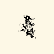 CCC(CC)COC(=O)[C@H](C)NP(=O)(OC[C@@H](CC#N)[C@H](Cc1ccc2c(N)ncnn12)OC(=O)C(C)C)Oc1cc(C)ccc1C(C)C